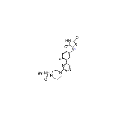 CC(C)NC(=O)N1CCCN(c2cncc(-c3cc(/C=C4/SC(=O)NC4=O)ccc3F)n2)CC1